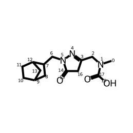 CN(CC1=NN(CC2CC3CCC2C3)C(=O)C1)C(=O)O